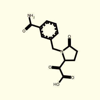 NC(=O)c1cccc(CN2C(=O)CCC2C(=O)C(=O)O)c1